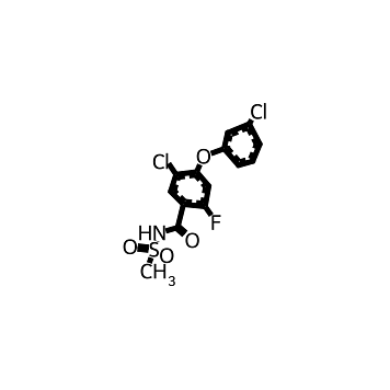 CS(=O)(=O)NC(=O)c1cc(Cl)c(Oc2cccc(Cl)c2)cc1F